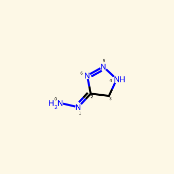 NN=C1CNN=N1